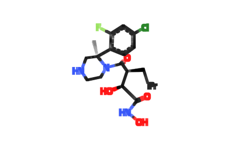 CC(C)C[C@H](C(=O)N1CCNC[C@@]1(C)c1ccc(Cl)cc1F)[C@H](O)C(=O)NO